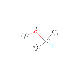 FC(F)(F)OC(F)(C(F)(F)F)C(F)(F)F